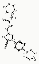 O=C(NC[C@H]1CN(c2ccc(N3CCOCC3)nc2)C(=O)O1)NC1CCCCC1